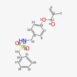 C=C(C)C(=O)Oc1ccc(CNS(=O)(=O)Cc2ccccc2)cc1